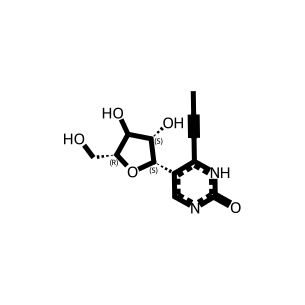 CC#Cc1[nH]c(=O)ncc1[C@@H]1O[C@H](CO)C(O)[C@@H]1O